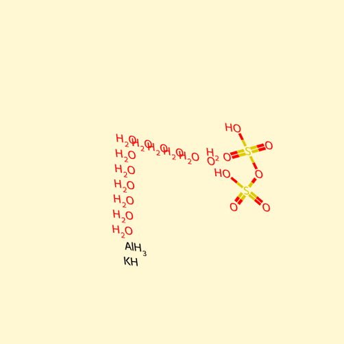 O.O.O.O.O.O.O.O.O.O.O.O.O=S(=O)(O)OS(=O)(=O)O.[AlH3].[KH]